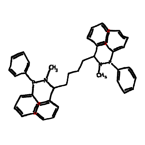 CN(C(CCCCC(c1ccccc1)N(C)P(c1ccccc1)c1ccccc1)c1ccccc1)P(c1ccccc1)c1ccccc1